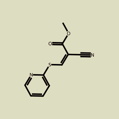 COC(=O)C(C#N)=CSc1ccccn1